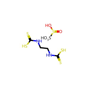 O=S(O)S(=O)(=O)O.S=C(S)NCCNC(=S)S